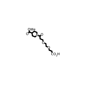 COC(=O)C1CCN(C(=O)CCOCCOCCC(=O)O)CC1